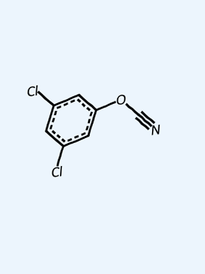 N#COc1cc(Cl)cc(Cl)c1